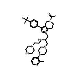 CC(=O)N1CCc2c(c(-c3ccc(C(F)(F)F)cc3)nn2CC(CN2CCN(c3ccccc3C)CC2)NCCN2CCNCC2)C1